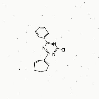 Clc1nc(C2=CCCCC=C2)nc(-c2ccccc2)n1